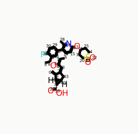 C=C1/C(=C\C(=C/C)OC(C)c2cc(-c3ccc(OC4CCS(=O)(=O)CC4)nc3C)ccc2F)C[C@@H]2[C@H]1[C@H]2C(=O)O